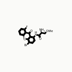 COC[C@H](N)C(=O)Nc1ccc(Br)c(Cl)c1C(=O)c1c(F)cccc1F